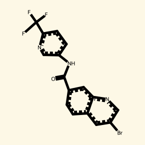 O=C(Nc1ccc(C(F)(F)F)nc1)c1ccc2cc(Br)cnc2c1